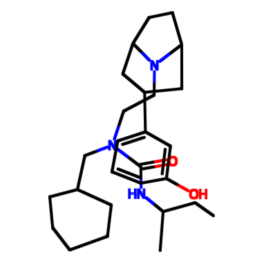 CCC(C)NC(=O)N(CCN1C2CCC1CC(c1cccc(O)c1)C2)CC1CCCCC1